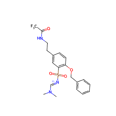 CN(C)/C=N/S(=O)(=O)c1cc(CCNC(=O)C(F)(F)F)ccc1OCc1ccccc1